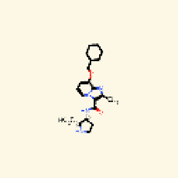 Cc1nc2c(OCC3CCCCC3)cccn2c1C(=O)N[C@@H]1CCN[C@@H]1C(=O)O